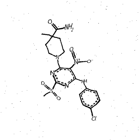 CC1(C(N)=O)CCN(c2nc(S(C)(=O)=O)nc(Nc3ccc(Cl)cc3)c2[N+](=O)[O-])CC1